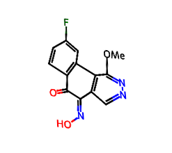 COc1nncc2c1-c1cc(F)ccc1C(=O)C2=NO